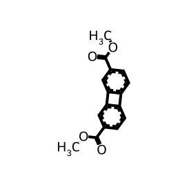 COC(=O)c1ccc2c(c1)-c1cc(C(=O)OC)ccc1-2